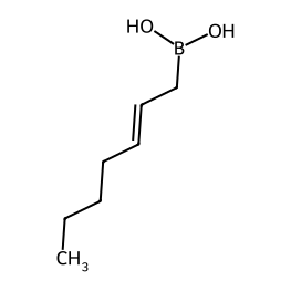 CCCCC=CCB(O)O